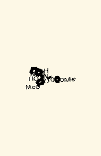 COc1ccc(OCC(=O)NC(c2ccc(OC)cc2)c2ccc3cccnc3c2O)cc1